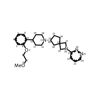 COCCOc1ccccc1C1CCN([C@@H]2CCC3(C2)CN(c2cccnn2)C3)CC1